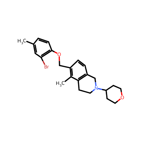 Cc1ccc(OCc2ccc3c(c2C)CCN(C2CCOCC2)C3)c(Br)c1